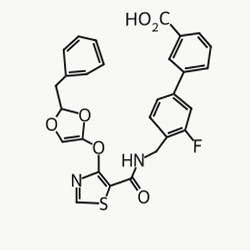 O=C(O)c1cccc(-c2ccc(CNC(=O)c3scnc3OC3=COC(Cc4ccccc4)O3)c(F)c2)c1